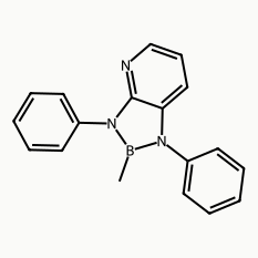 CB1N(c2ccccc2)c2cccnc2N1c1ccccc1